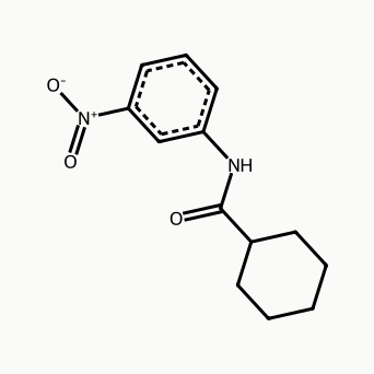 O=C(Nc1cccc([N+](=O)[O-])c1)C1CCCCC1